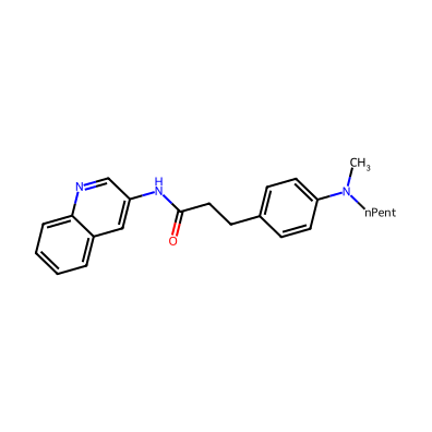 CCCCCN(C)c1ccc(CCC(=O)Nc2cnc3ccccc3c2)cc1